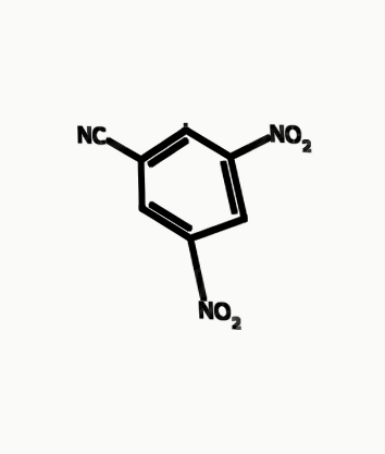 N#Cc1[c]c([N+](=O)[O-])cc([N+](=O)[O-])c1